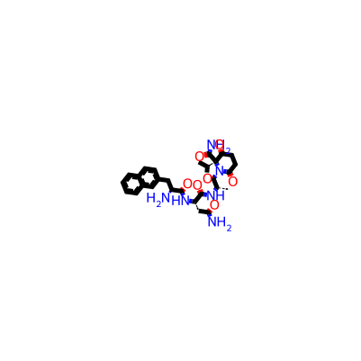 CC(C)[C@]1(C(N)=O)C(=O)CCC(=O)N1C(=O)[C@H](C)NC(=O)[C@H](CC(N)=O)NC(=O)[C@@H](N)Cc1ccc2ccccc2c1